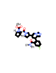 CCN(C(=O)c1cc(F)ccc1-c1cc(C2CCN(C(=O)[C@@H]3[C@H]4CC[C@H](C4)N3C(=O)OC(C)(C)C)C2)cn2cncc12)C(C)C